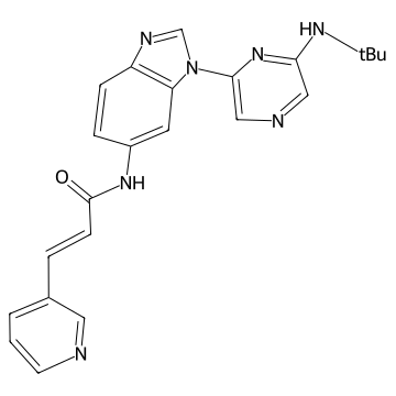 CC(C)(C)Nc1cncc(-n2cnc3ccc(NC(=O)C=Cc4cccnc4)cc32)n1